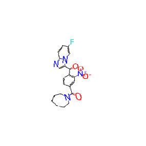 O=C(c1ccc(C(=O)N2CCCCCC2)cc1[N+](=O)[O-])c1cnc2ccc(F)cn12